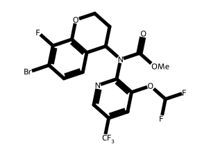 COC(=O)N(c1ncc(C(F)(F)F)cc1OC(F)F)C1CCOc2c1ccc(Br)c2F